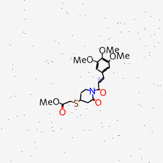 COC(=O)CSC1CCN(C(=O)/C=C/c2cc(OC)c(OC)c(OC)c2)C(=O)C1